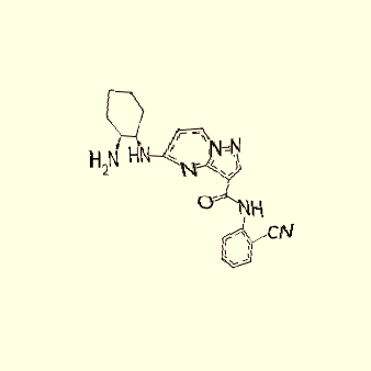 N#Cc1ccccc1NC(=O)c1cnn2ccc(N[C@@H]3CCCC[C@@H]3N)nc12